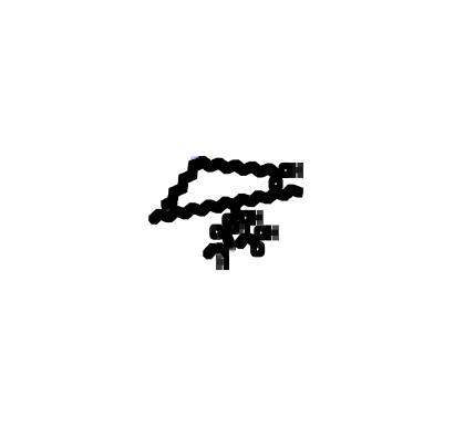 CCCCCC/C=C\CCCCCCCCC(=O)O.CCCCCCCCCCC(CCCCCCCC)C(=O)O.CCN[C@@H](CCC(=O)O)C(=O)O